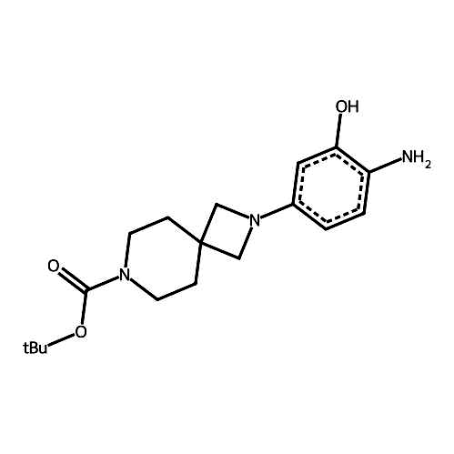 CC(C)(C)OC(=O)N1CCC2(CC1)CN(c1ccc(N)c(O)c1)C2